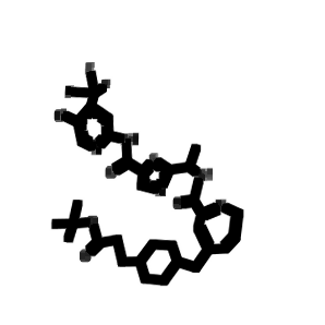 CC(NC(=O)C1=NC=C=CC(CC2CCC(CCC(=O)OC(C)(C)C)CC2)=C1)c1ncc(C(=O)Nc2cc(C(F)(F)F)c(Cl)cn2)s1